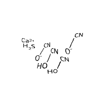 N#CO.N#CO.N#C[O-].N#C[O-].S.[Ca+2]